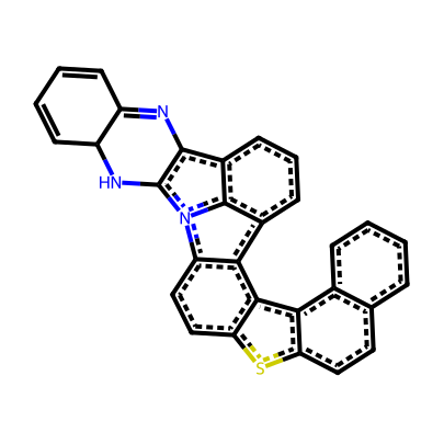 C1=CC2=Nc3c(n4c5ccc6sc7ccc8ccccc8c7c6c5c5cccc3c54)NC2C=C1